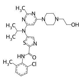 Cc1nc(N2CCN(CCO)CC2)cc(N(c2cnc(C(=O)Nc3c(C)cccc3Cl)s2)C(C)C)n1